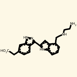 NCCNCc1cccc2[nH]c(-c3n[nH]c4cc(CC(=O)O)ccc34)cc12